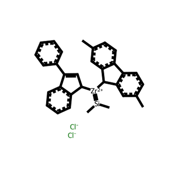 Cc1ccc2c(c1)[CH]([Zr+2]([CH]1C=C(c3ccccc3)c3ccccc31)=[Si](C)C)c1cc(C)ccc1-2.[Cl-].[Cl-]